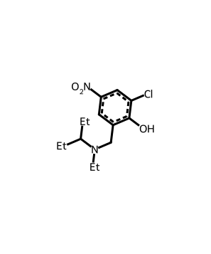 CCC(CC)N(CC)Cc1cc([N+](=O)[O-])cc(Cl)c1O